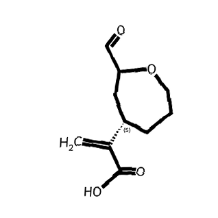 C=C(C(=O)O)[C@H]1CCCOC(C=O)C1